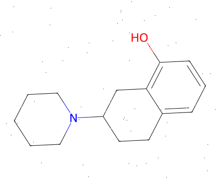 Oc1cccc2c1CC(N1CCCCC1)CC2